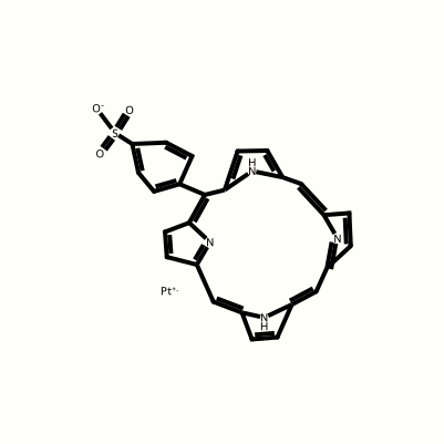 O=S(=O)([O-])c1ccc(-c2c3nc(cc4ccc(cc5nc(cc6ccc2[nH]6)C=C5)[nH]4)C=C3)cc1.[Pt+]